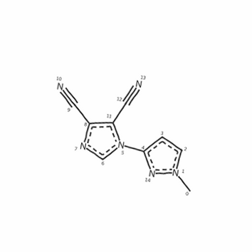 Cn1ccc(-n2cnc(C#N)c2C#N)n1